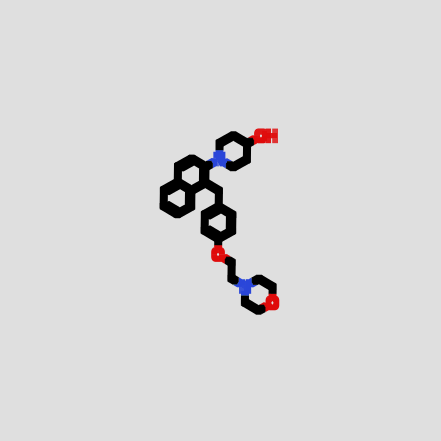 OC1CCN(c2ccc3ccccc3c2Cc2ccc(OCCN3CCOCC3)cc2)CC1